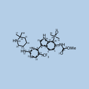 COC(=O)Nc1ccc2c(-c3nc(N[C@H]4CCC(C)(C)NC4)ncc3C(F)(F)F)c[nH]c2c1P(C)(C)=O